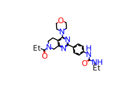 CCNC(=O)Nc1ccc(-c2nc3c(c(N4CCOCC4)n2)CCN(C(=O)CC)C3)cc1